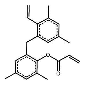 C=CC(=O)Oc1c(C)cc(C)cc1Cc1cc(C)cc(C)c1C=C